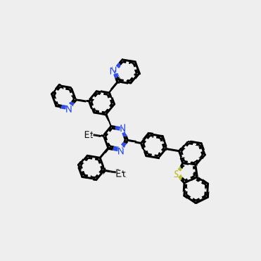 CCc1ccccc1-c1nc(-c2ccc(-c3cccc4c3sc3ccccc34)cc2)nc(-c2cc(-c3ccccn3)cc(-c3ccccn3)c2)c1CC